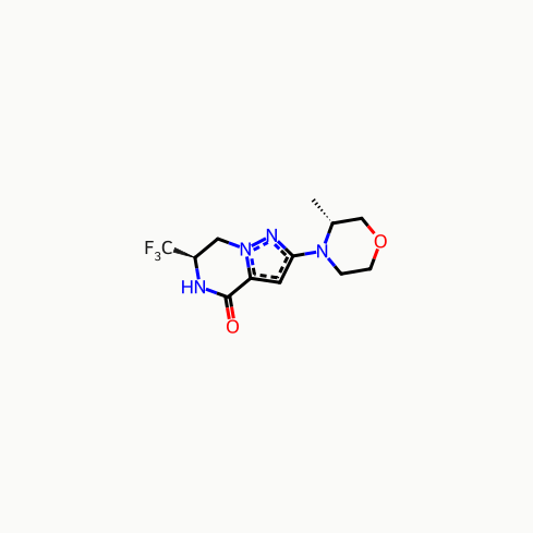 C[C@@H]1COCCN1c1cc2n(n1)C[C@H](C(F)(F)F)NC2=O